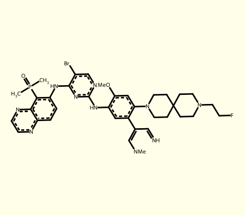 CN/C=C(\C=N)c1cc(Nc2ncc(Br)c(Nc3ccc4nccnc4c3P(C)(C)=O)n2)c(OC)cc1N1CCC2(CCN(CCF)CC2)CC1